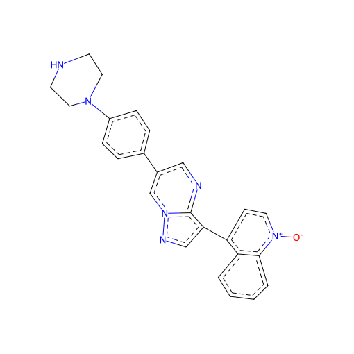 [O-][n+]1ccc(-c2cnn3cc(-c4ccc(N5CCNCC5)cc4)cnc23)c2ccccc21